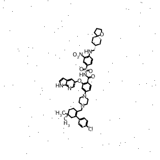 CC1(C)CCC(CN2CCN(c3ccc(C(=O)NS(=O)(=O)c4ccc(NC[C@H]5CC[C@@]6(CCCO6)CC5)c([N+](=O)[O-])c4)c(Oc4cnc5[nH]ccc5c4)c3)CC2)=C(c2ccc(Cl)cc2)C1